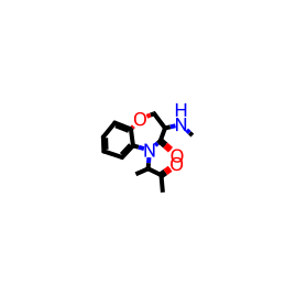 CNC1COc2ccccc2N(C(C)C(C)=O)C1=O